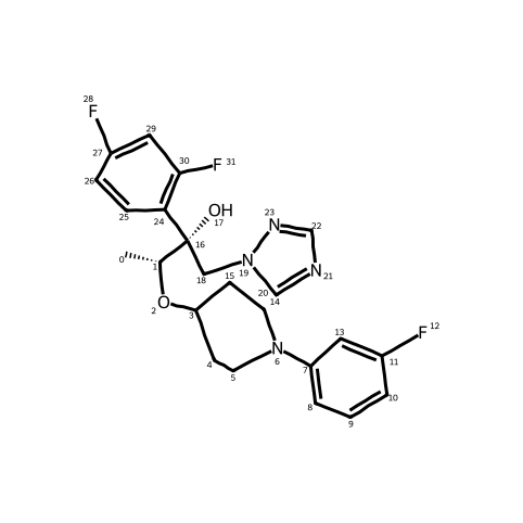 C[C@@H](OC1CCN(c2cccc(F)c2)CC1)[C@](O)(Cn1cncn1)c1ccc(F)cc1F